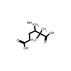 CC(CCC(=O)O)C(C)(C)C(=O)O.N